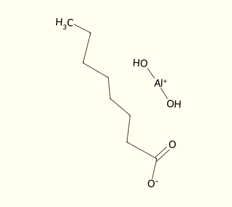 CCCCCCCC(=O)[O-].[OH][Al+][OH]